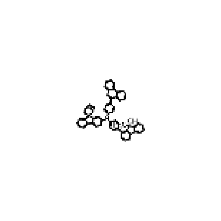 CC1(C)c2ccccc2-c2cccc(-c3ccc(N(c4ccc(-c5cc6ccccc6c6ccccc56)cc4)c4ccc5c(c4)C4(CC6CCC4C6)c4ccccc4-5)cc3)c21